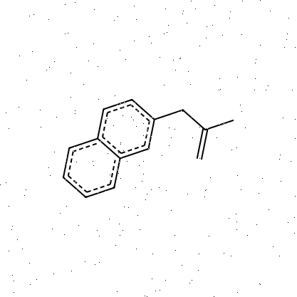 C=C(C)Cc1ccc2ccccc2c1